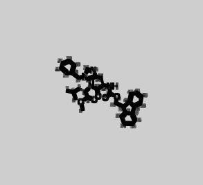 COC(=O)[C@H](CC(C)C)NC(=O)[C@@H](Cc1cn(Cc2ccccc2)cn1)NC(=O)OCC1c2ccccc2-c2ccccc21